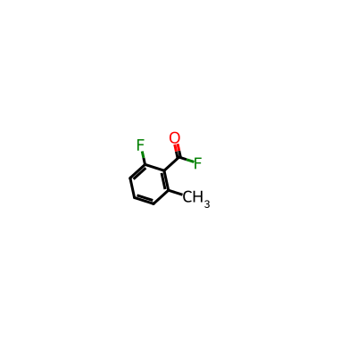 Cc1cccc(F)c1C(=O)F